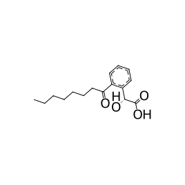 CCCCCCCC(=O)c1ccccc1[C@@H](O)C(=O)O